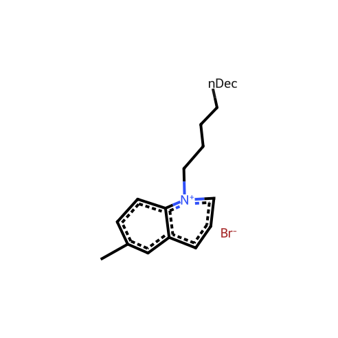 CCCCCCCCCCCCCC[n+]1cccc2cc(C)ccc21.[Br-]